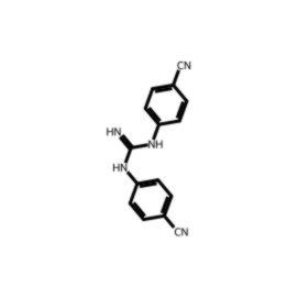 N#Cc1ccc(NC(=N)Nc2ccc(C#N)cc2)cc1